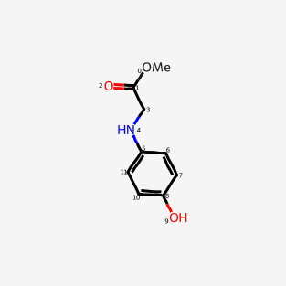 COC(=O)CNc1ccc(O)cc1